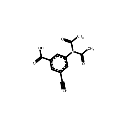 C#Cc1cc(C(=O)O)cc(N(C(C)=O)C(C)=O)c1